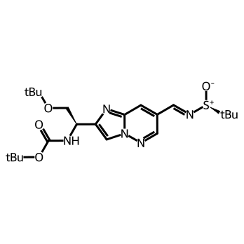 CC(C)(C)OC[C@H](NC(=O)OC(C)(C)C)c1cn2ncc(/C=N/[S@@+]([O-])C(C)(C)C)cc2n1